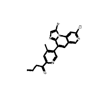 CCCC(=O)c1cc(C)c(-c2cc3cnc(Cl)cc3n3c(Br)cnc23)cn1